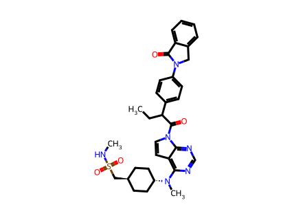 CCC(C(=O)n1ccc2c(N(C)[C@H]3CC[C@H](CS(=O)(=O)NC)CC3)ncnc21)c1ccc(N2Cc3ccccc3C2=O)cc1